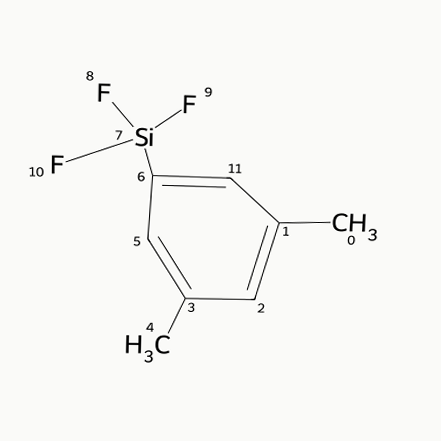 Cc1cc(C)cc([Si](F)(F)F)c1